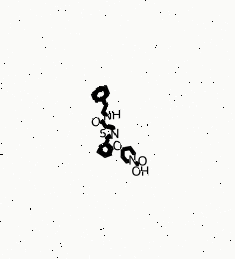 O=C(NCCc1ccccc1)c1cnc(-c2ccccc2OC2CCN(C(=O)O)CC2)s1